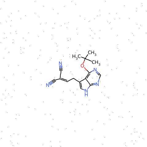 CC(C)(C)Oc1ncnc2[nH]cc(CC=C(C#N)C#N)c12